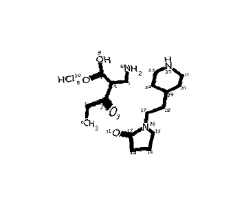 CCC(=O)C(CN)C(=O)O.Cl.O=C1CCCN1CCC1CCNCC1